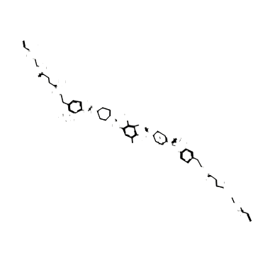 C=CC(=O)OCCOC(=O)CCC(=O)OCCc1ccc(OC(=O)[C@H]2CC[C@H](C(=O)Oc3cc(C)c(OC(=O)[C@H]4CC[C@H](C(=O)Oc5ccc(CCOC(=O)CCC(=O)OCCOC(=O)C=C)cc5OC)CC4)c(C)c3C)CC2)c(OC)c1